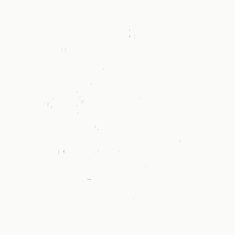 Cc1ccc(C2[C@@H](c3cccc(Cl)c3)C[C@](C)(CC(=O)O)C(=O)N2[C@H](CCC(C)C)C(C)C)cc1